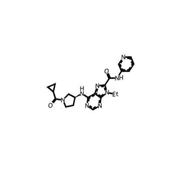 CCn1c(C(=O)Nc2cccnc2)nc2c(N[C@H]3CCN(C(=O)C4CC4)C3)ncnc21